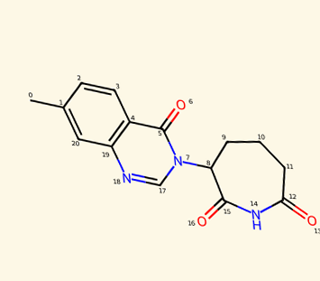 Cc1ccc2c(=O)n(C3CCCC(=O)NC3=O)cnc2c1